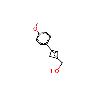 COc1ccc(C23CC(CO)(C2)C3)cc1